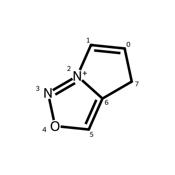 C1=C[n+]2nocc2C1